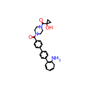 NC1=C(c2ccc(-c3ccc(C(=O)N4CCN(C(=O)C5(O)CC5)CC4)cc3)cc2)C=CC=CC1